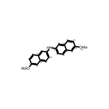 COc1ccc2cc(Pc3ccc4cc(OC)ccc4c3)ccc2c1